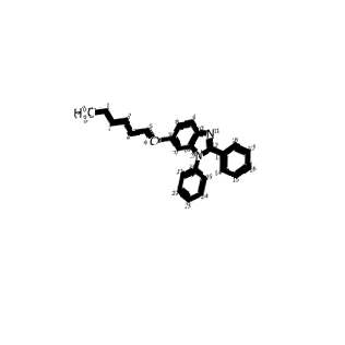 CCCCCCOc1ccc2nc(-c3ccccc3)n(-c3ccccc3)c2c1